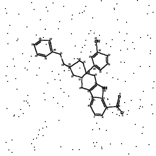 O=[N+]([O-])c1cccc2c3c([nH]c12)CC1(c2cccc(O)c2)CCN(CCc2ccccc2)CC1C3